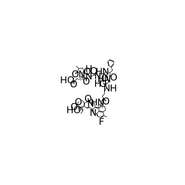 CC[C@@]1(O)C(=O)OCc2c1cc1n(c2=O)Cc2c-1nc1cc(F)c(C)c3c1c2[C@@H](NC(=O)CCCNC(=O)CNC(=O)C(Cc1ccccc1)NC(=O)CNC(=O)CNC(=O)[C@H](CCC(=O)O)N1C(=O)CC(C)C1=O)CC3